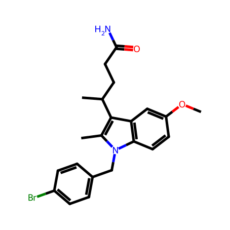 COc1ccc2c(c1)c(C(C)CCC(N)=O)c(C)n2Cc1ccc(Br)cc1